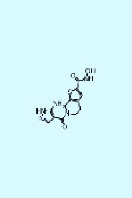 Nc1[nH]ncc1C(=O)N1CCc2cc(C(=O)NO)sc2C1